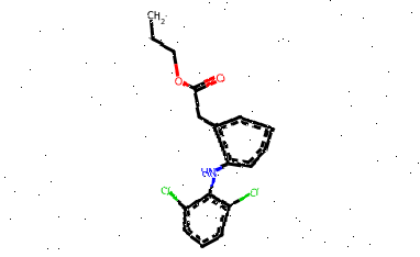 [CH2][CH]COC(=O)Cc1ccccc1Nc1c(Cl)cccc1Cl